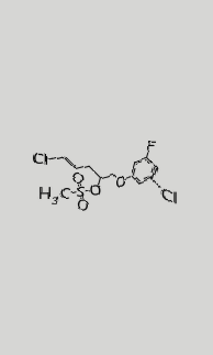 CS(=O)(=O)OC(CC=CCl)COc1cc(F)cc(Cl)c1